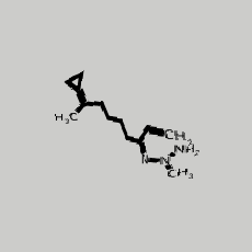 C=C/C(CCCCC(C)=C1CC1)=N\N(C)N